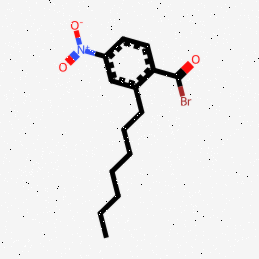 CCCCCCCc1cc([N+](=O)[O-])ccc1C(=O)Br